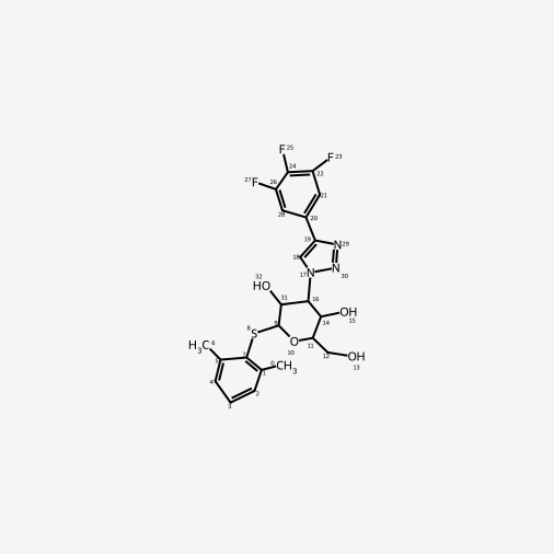 Cc1cccc(C)c1SC1OC(CO)C(O)C(n2cc(-c3cc(F)c(F)c(F)c3)nn2)C1O